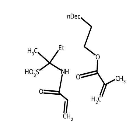 C=C(C)C(=O)OCCCCCCCCCCCC.C=CC(=O)NC(C)(CC)S(=O)(=O)O